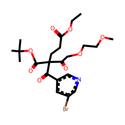 CCOC(=O)CCC(C(=O)COCCOC)(C(=O)OC(C)(C)C)C(=O)c1cncc(Br)c1